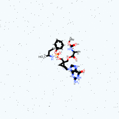 CC(C)CC(N[P@](=O)(OCC1(COC(=O)C(NC(=O)OC(C)(C)C)C(C)C)C/C1=C/n1cnc2c(=O)[nH]c(N)nc21)Oc1ccccc1)C(=O)O